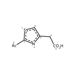 CC(=O)c1nc(CC(=O)O)cs1